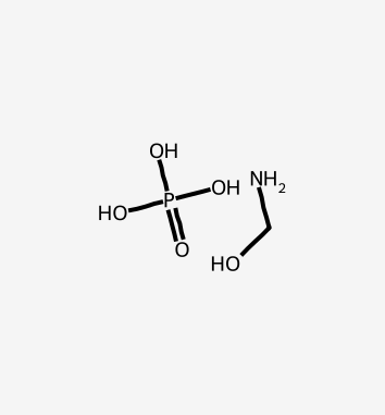 NCO.O=P(O)(O)O